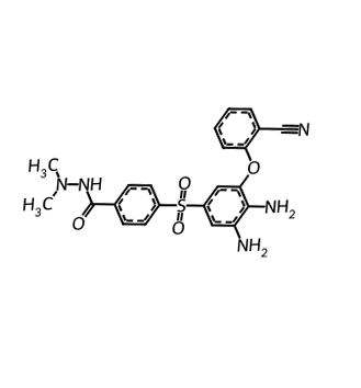 CN(C)NC(=O)c1ccc(S(=O)(=O)c2cc(N)c(N)c(Oc3ccccc3C#N)c2)cc1